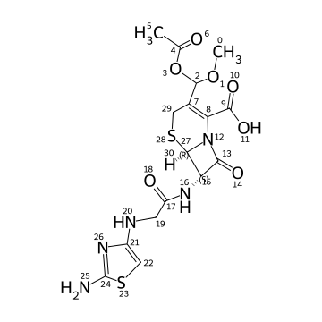 COC(OC(C)=O)C1=C(C(=O)O)N2C(=O)[C@H](NC(=O)CNc3csc(N)n3)[C@H]2SC1